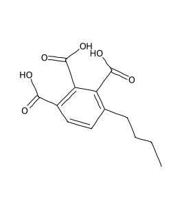 CCCCc1ccc(C(=O)O)c(C(=O)O)c1C(=O)O